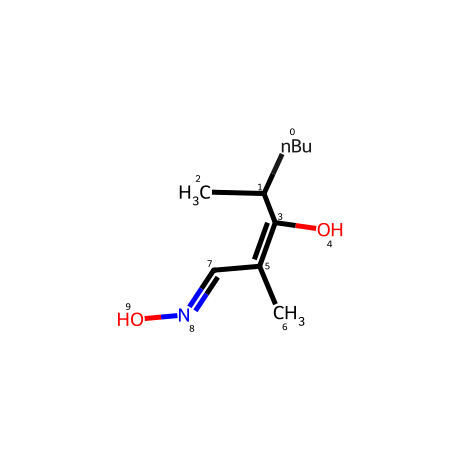 CCCCC(C)C(O)=C(C)C=NO